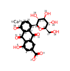 O=C([O-])c1cc(O)c2c(c1)C(=O)c1c([C@@H]3O[C@H](CO)[C@@H](O)[C@H](O)[C@H]3O)ccc([O-])c1C2=O.[Ca+2]